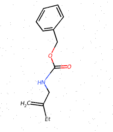 C=C(CC)CNC(=O)OCc1ccccc1